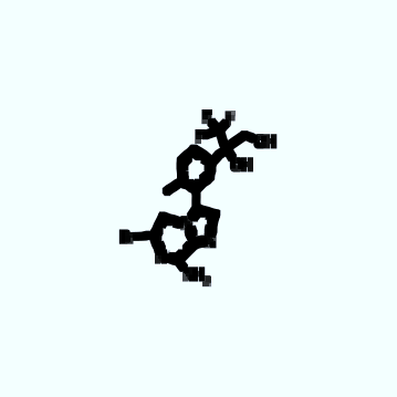 Cc1ccc(C(O)(CO)C(F)(F)F)cc1-c1cnc2c(N)nc(Br)cn12